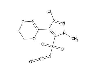 Cn1nc(Cl)c(C2=NOCCO2)c1S(=O)(=O)N=C=O